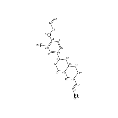 C=CCOc1ccc(C2CCC3CC(C=CCC)CCC3C2)cc1F